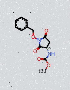 CC(C)(C)OC(=O)N[C@H]1CC(=O)N(OCc2ccccc2)C1=O